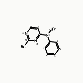 CC(C)N(c1ccccc1)c1ccnc(Br)n1